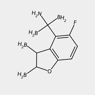 BC1Oc2ccc(F)c(C(B)(B)N)c2C1B